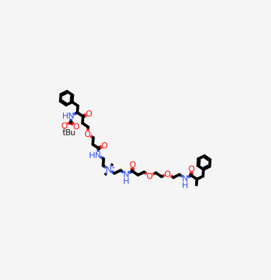 CC(Cc1ccccc1)C(=O)NCCOCCOCCC(=O)NCC[N+](C)(C)CCNC(=O)CCOCCC(=O)C(Cc1ccccc1)NC(=O)OC(C)(C)C